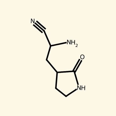 N#CC(N)CC1CCNC1=O